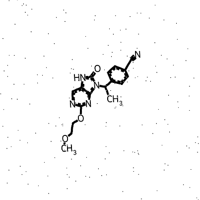 COCCOc1ncc2[nH]c(=O)n(C(C)c3ccc(C#N)cc3)c2n1